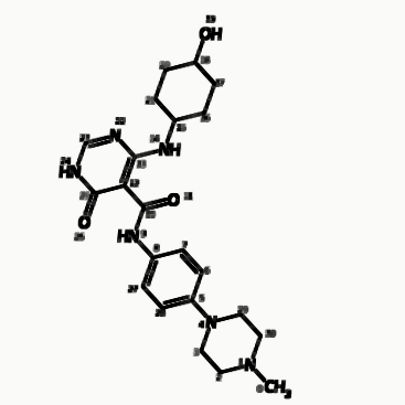 CN1CCN(c2ccc(NC(=O)c3c(NC4CCC(O)CC4)nc[nH]c3=O)cc2)CC1